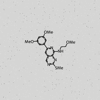 COCCNc1nc(-c2cc(OC)cc(OC)c2)cc2cnc(SC)nc12